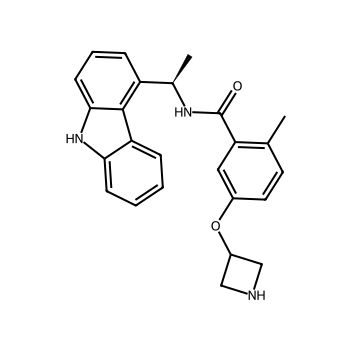 Cc1ccc(OC2CNC2)cc1C(=O)N[C@H](C)c1cccc2[nH]c3ccccc3c12